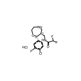 Cl.O=C(NC[C@@H]1CNCCO[C@H]1c1ccc(Cl)c(F)c1)C(F)F